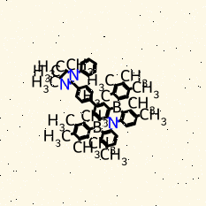 Cc1ccc2c(c1)B(c1c(C)c(C)c(C)c(C)c1C)c1cc(-c3ccc(C4=NC(C)(C)C(C)(C)N4c4ccccc4)cc3)cc3c1N2c1ccc(C)cc1B3c1c(C)c(C)c(C)c(C)c1C